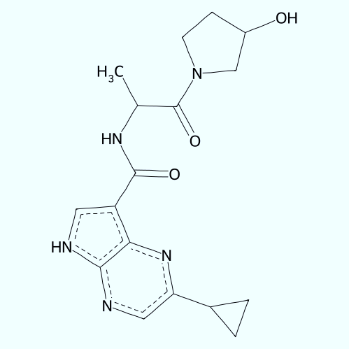 CC(NC(=O)c1c[nH]c2ncc(C3CC3)nc12)C(=O)N1CCC(O)C1